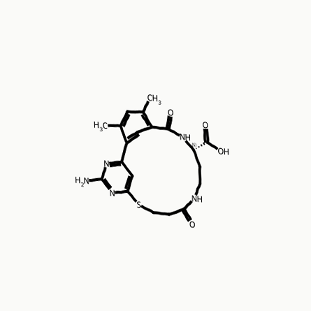 Cc1cc(C)c2cc1C(=O)N[C@H](C(=O)O)CCNC(=O)CCSc1cc-2nc(N)n1